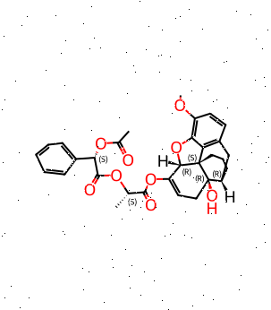 COc1ccc2c3c1O[C@H]1C(OC(=O)[C@H](C)OC(=O)[C@@H](OC(C)=O)c4ccccc4)=CC[C@@]4(O)[C@H](CCC[C@]314)C2